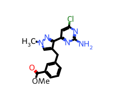 COC(=O)c1cccc(Cc2cn(C)nc2-c2cc(Cl)nc(N)n2)c1